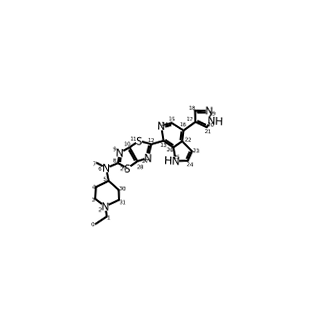 CCN1CCC(N(C)c2nc3sc(-c4ncc(-c5cn[nH]c5)c5cc[nH]c45)nc3s2)CC1